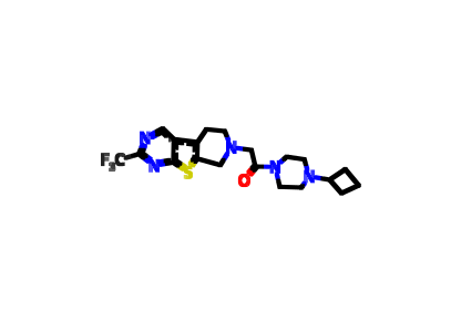 O=C(CN1CCc2c(sc3nc(C(F)(F)F)ncc23)C1)N1CCN(C2CCC2)CC1